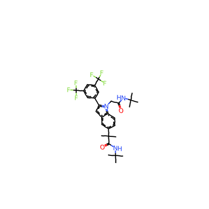 CC(C)(C)NC(=O)Cn1c(-c2cc(C(F)(F)F)cc(C(F)(F)F)c2)cc2cc(C(C)(C)C(=O)NC(C)(C)C)ccc21